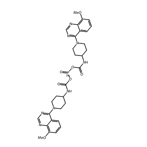 COc1cccc2c(N3CCC(NC(=O)O[PH](=O)OC(=O)NC4CCN(c5ncnc6c(OC)cccc56)CC4)CC3)ncnc12